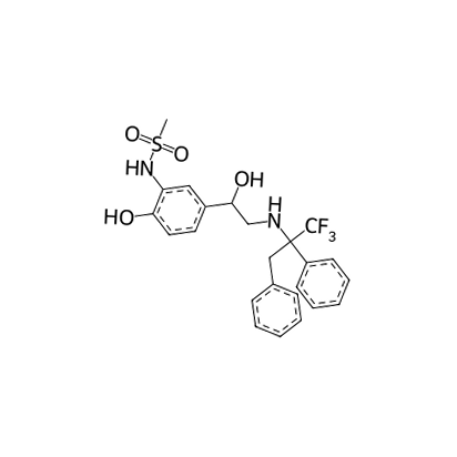 CS(=O)(=O)Nc1cc(C(O)CNC(Cc2ccccc2)(c2ccccc2)C(F)(F)F)ccc1O